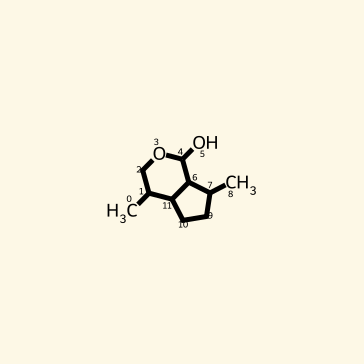 CC1COC(O)C2C(C)CCC12